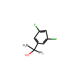 BC(B)(O)c1cc(F)cc(F)c1